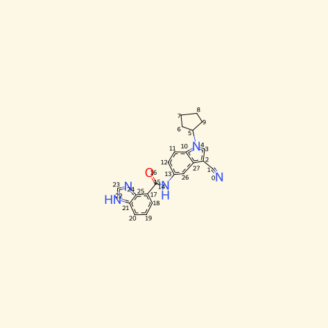 N#Cc1cn(C2CCCC2)c2ccc(NC(=O)c3cccc4[nH]cnc34)cc12